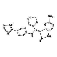 O=C1Nc2ccc([N+](=O)[O-])cc2C1=C(Nc1ccc(-c2nnn[nH]2)cc1)c1ccccc1